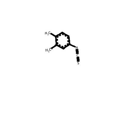 Cc1ccc(N=C=S)cc1C